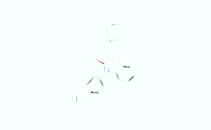 Cc1ccc(N(C(=O)OCC2CCCCC2)c2cccc(F)c2)cc1